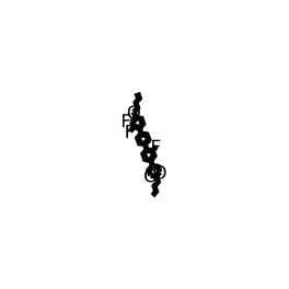 C=CCCOc1ccc(-c2ccc(-c3ccc(C4COC(CCCC)OC4)cc3F)cc2)c(F)c1F